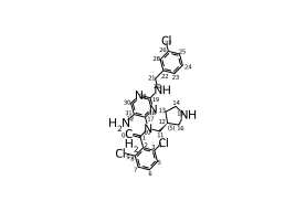 C=C(c1c(Cl)cccc1Cl)N(C[C@H]1CCNC1)c1nc(NCc2cccc(Cl)c2)ncc1N